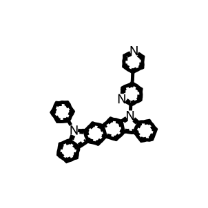 c1ccc(-n2c3ccccc3c3cc4cc5c6ccccc6n(-c6ccc(-c7ccncc7)cn6)c5cc4cc32)cc1